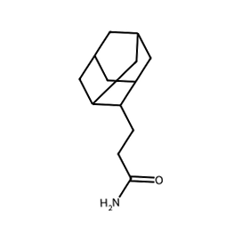 NC(=O)CCC1C2CC3CC(C2)CC1C3